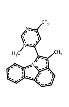 Cc1c(-c2cc(C(F)(F)F)nc[n+]2C)n2c3ccccc3c3cccc1c32